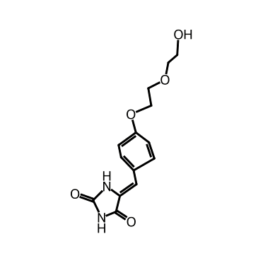 O=C1NC(=O)C(=Cc2ccc(OCCOCCO)cc2)N1